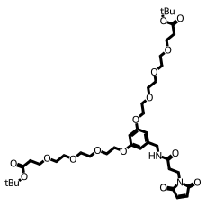 CC(C)(C)OC(=O)CCOCCOCCOCCOc1cc(CNC(=O)CCN2C(=O)C=CC2=O)cc(OCCOCCOCCOCCC(=O)OC(C)(C)C)c1